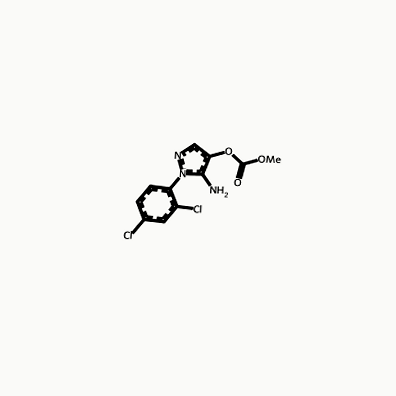 COC(=O)Oc1cnn(-c2ccc(Cl)cc2Cl)c1N